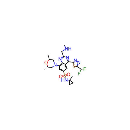 CNCc1nc(-c2nnc(C(F)F)s2)c2cc(S(=O)(=O)NC3(C)CC3)cc(N3C[C@H](C)O[C@@H](C)C3)c2n1